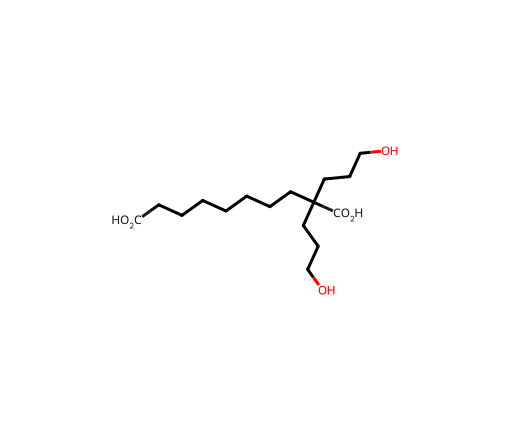 O=C(O)CCCCCCCC(CCCO)(CCCO)C(=O)O